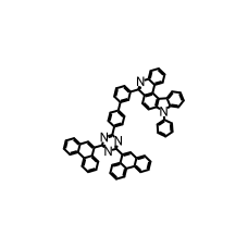 c1ccc(-n2c3ccccc3c3c4c(ccc32)c(-c2cccc(-c3ccc(-c5nc(-c6cc7ccccc7c7ccccc67)nc(-c6cc7ccccc7c7ccccc67)n5)cc3)c2)nc2ccccc24)cc1